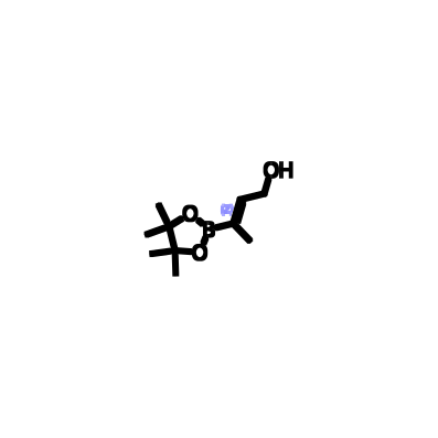 C/C(=C\CO)B1OC(C)(C)C(C)(C)O1